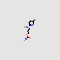 CCN(CCCOC(N)=O)c1ccc(C#N)cn1